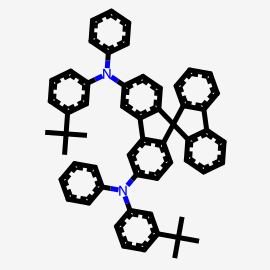 CC(C)(C)c1cccc(N(c2ccccc2)c2ccc3c(c2)-c2cc(N(c4ccccc4)c4cccc(C(C)(C)C)c4)ccc2C32c3ccccc3-c3ccccc32)c1